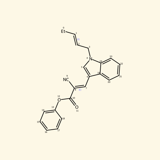 CC/C=C/Cn1cc(/C=C(\C#N)C(=O)Oc2ccccc2)c2ccccc21